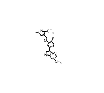 Cn1cc(COc2cc(C3=CN=C4CN(C(F)(F)F)C=N[N+]34)ccc2F)c(C(F)(F)F)n1